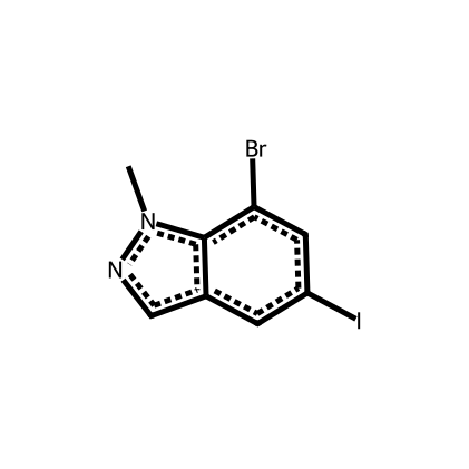 Cn1ncc2cc(I)cc(Br)c21